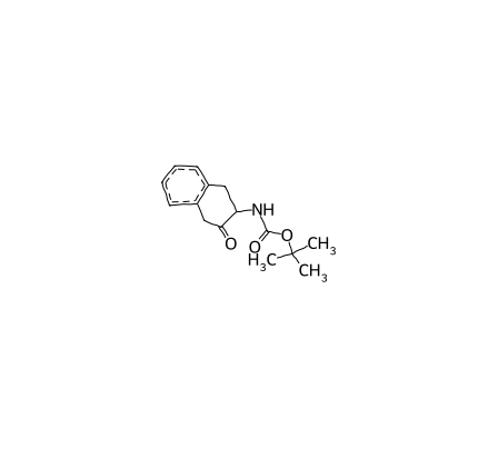 CC(C)(C)OC(=O)NC1Cc2ccccc2CC1=O